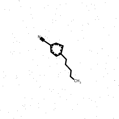 CCCCCc1ccc(C#N)cc1